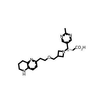 Cc1ncc([C@H](CC(=O)O)N2CC(COCCc3ccc4c(n3)CCCN4)C2)cn1